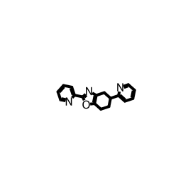 c1ccc(-c2nc3c(o2)CCC(c2ccccn2)C3)nc1